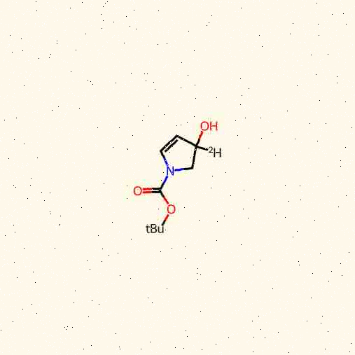 [2H]C1(O)C=CN(C(=O)OC(C)(C)C)C1